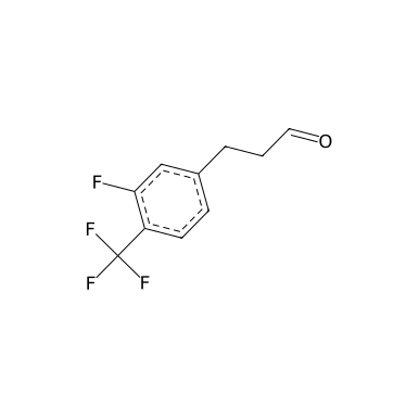 O=CCCc1ccc(C(F)(F)F)c(F)c1